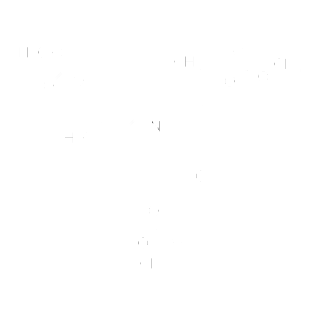 COC(=O)OCc1ccc(N(c2ccc(COC(=O)OC)c(C)c2)c2ccc(COC(=O)OC)c(C)c2)cc1C